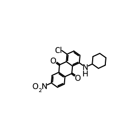 O=C1c2cc([N+](=O)[O-])ccc2C(=O)c2c(NC3CCCCC3)ccc(Cl)c21